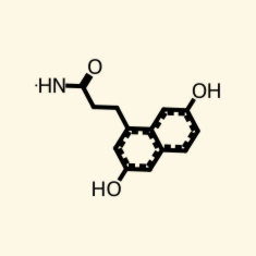 [NH]C(=O)CCc1cc(O)cc2ccc(O)cc12